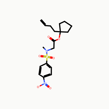 C=CCCC1(OC(=O)CN(C)S(=O)(=O)c2ccc([N+](=O)[O-])cc2)CCCC1